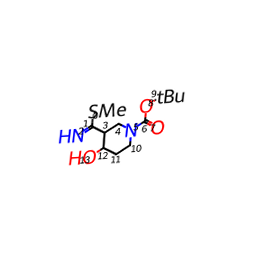 CSC(=N)C1CN(C(=O)OC(C)(C)C)CCC1O